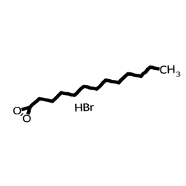 Br.CCCCCCCCCCCCC1OO1